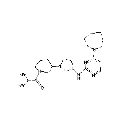 CCCC(CCC)C(=O)N1CCCC(N2CCC(Nc3nccc(N4CCCCCC4)n3)C2)C1